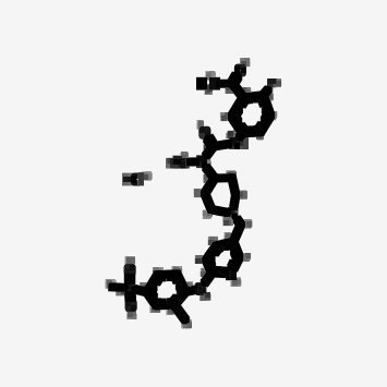 CCCCN(C(=O)Nc1ccc(F)c(C(N)=O)c1)C1CCN(Cc2ccc(Oc3ccc(S(C)(=O)=O)cc3C)nc2)CC1.Cl